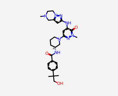 CN1CCn2nc(Nc3cc(N4CCC[C@@H](NC(=O)c5ccc(C(C)(C)CO)cc5)C4)nn(C)c3=O)cc2C1